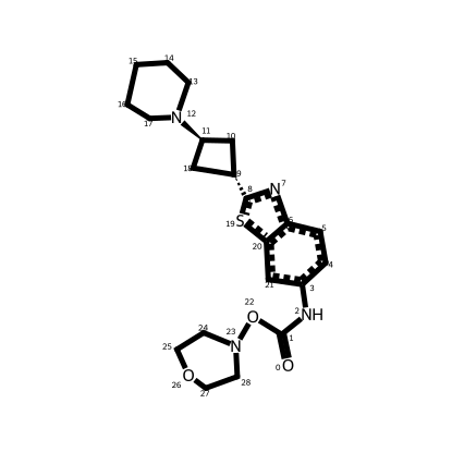 O=C(Nc1ccc2nc([C@H]3C[C@H](N4CCCCC4)C3)sc2c1)ON1CCOCC1